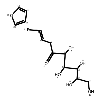 O=C(CC=CF)C(O)C(O)C(O)C(O)CO.c1ccoc1